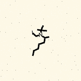 CCCCCC(C)N(CI)C(C)(C)C